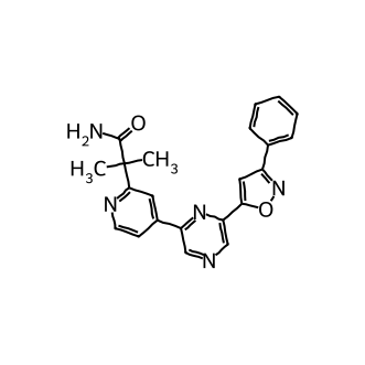 CC(C)(C(N)=O)c1cc(-c2cncc(-c3cc(-c4ccccc4)no3)n2)ccn1